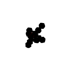 c1ccc(-c2ccc(-c3nc(-c4cccc5ccccc45)nc(-c4c(-n5c6ccccc6c6cc7ccccc7cc65)ccc5c4oc4ccccc45)n3)cc2)cc1